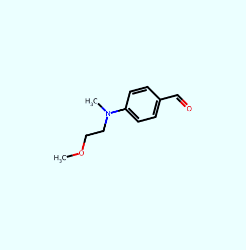 COCCN(C)c1ccc(C=O)cc1